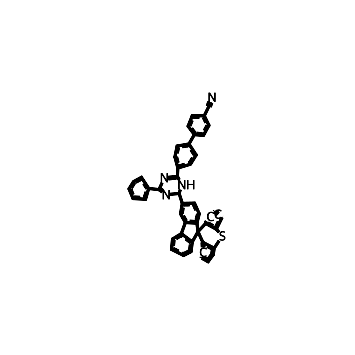 N#Cc1ccc(-c2ccc(C3=NC(c4ccccc4)=NC(c4ccc5c(c4)-c4ccccc4C54c5ccccc5Sc5ccccc54)N3)cc2)cc1